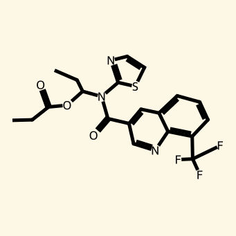 CCC(=O)OC(CC)N(C(=O)c1cnc2c(C(F)(F)F)cccc2c1)c1nccs1